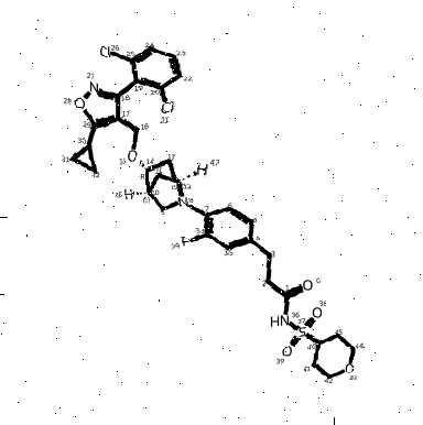 O=C(CCc1ccc(N2C[C@@H]3C[C@H]2C[C@H]3OCc2c(-c3c(Cl)cccc3Cl)noc2C2CC2)c(F)c1)NS(=O)(=O)C1CCOCC1